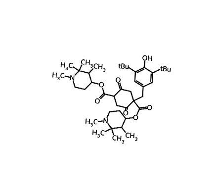 CC1C(OC(=O)C2CC(=O)C(Cc3cc(C(C)(C)C)c(O)c(C(C)(C)C)c3)(C(=O)OC3CCN(C)C(C)(C)C3C)CC2=O)CCN(C)C1(C)C